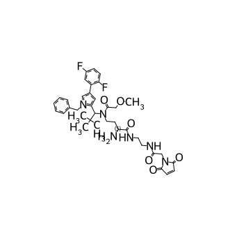 COCC(=O)N(CC[C@H](N)C(=O)NCCNC(=O)CN1C(=O)C=CC1=O)C(c1cc(-c2cc(F)ccc2F)cn1Cc1ccccc1)C(C)(C)C